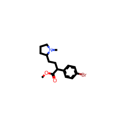 COC(=O)C(CCC1CCCN1C)c1ccc(Br)cc1